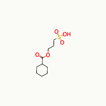 O=C(OCCCS(=O)(=O)O)C1CCCCC1